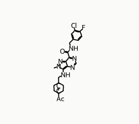 CC(=O)C12CCC(CNc3c4ncnc(C(=O)NCc5ccc(F)c(Cl)c5)c4nn3C)(CC1)CC2